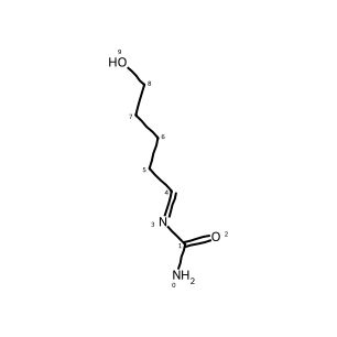 NC(=O)N=CCCCCO